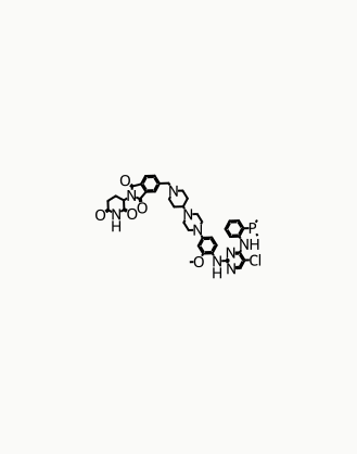 COc1cc(N2CCN(C3CCN(Cc4ccc5c(c4)C(=O)N(C4CCC(=O)NC4=O)C5=O)CC3)CC2)ccc1Nc1ncc(Cl)c(Nc2ccccc2P(C)C)n1